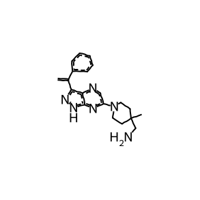 C=C(c1ccccc1)c1n[nH]c2nc(N3CCC(C)(CN)CC3)cnc12